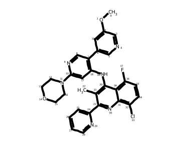 COc1cncc(-c2cnc(N3CCOCC3)cc2Nc2c(C)c(-c3ccccn3)nc3c(Cl)ccc(F)c23)c1